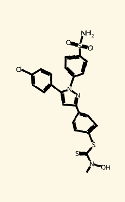 CN(O)C(=S)Sc1ccc(-c2cc(-c3ccc(Cl)cc3)n(-c3ccc(S(N)(=O)=O)cc3)n2)cc1